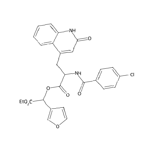 CCOC(=O)C(OC(=O)C(Cc1cc(=O)[nH]c2ccccc12)NC(=O)c1ccc(Cl)cc1)c1ccoc1